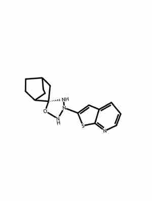 c1cnc2sc(N3NO[C@@]4(CC5CCC4CC5)N3)cc2c1